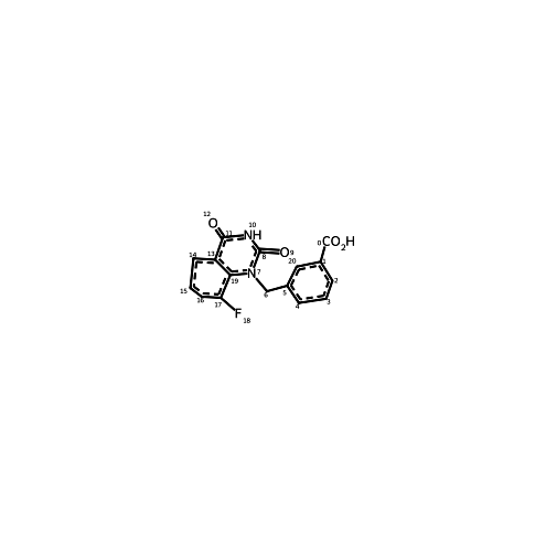 O=C(O)c1cccc(Cn2c(=O)[nH]c(=O)c3cccc(F)c32)c1